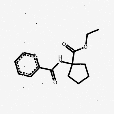 CCOC(=O)C1(NC(=O)c2ccccn2)CCCC1